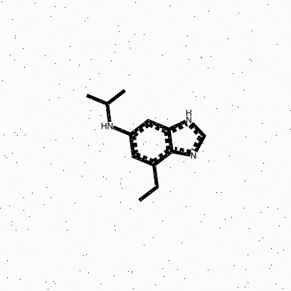 CCc1cc(NC(C)C)cc2[nH]cnc12